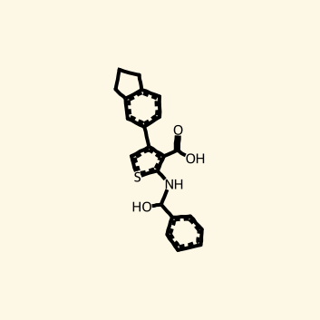 O=C(O)c1c(-c2ccc3c(c2)CCC3)csc1NC(O)c1ccccc1